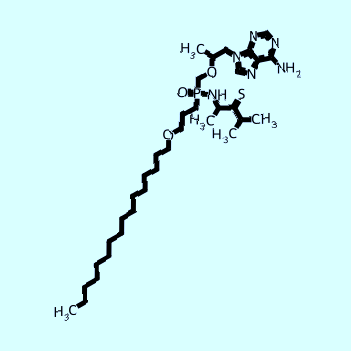 CCCCCCCCCCCCCCCCOCCCP(=O)(COC(C)Cn1cnc2c(N)ncnc21)NC(C)C(=S)C(C)C